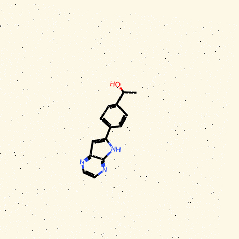 CC(O)c1ccc(-c2cc3nccnc3[nH]2)cc1